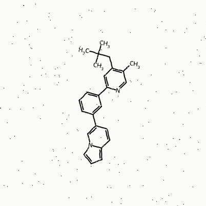 Cc1cnc(-c2cccc(-c3ccc4cccn4c3)c2)cc1CC(C)(C)C